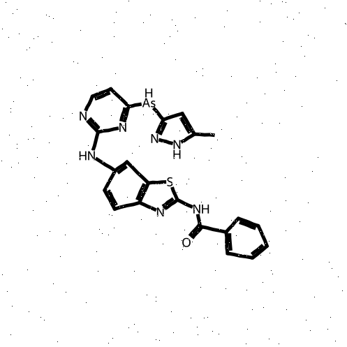 Cc1cc([AsH]c2ccnc(Nc3ccc4nc(NC(=O)c5ccccc5)sc4c3)n2)n[nH]1